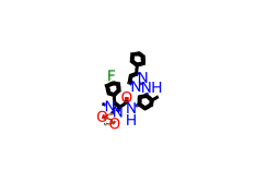 Cc1ccc(NC(=O)c2nc(S(C)(=O)=O)n(C)c2-c2ccc(F)cc2)cc1Nc1nccc(-c2ccccc2)n1